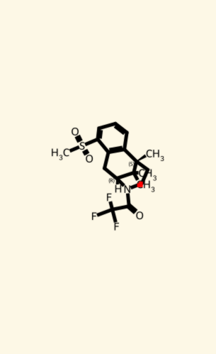 CC1(C)[C@H]2Cc3c(cccc3S(C)(=O)=O)[C@]1(C)CCN2C(=O)C(F)(F)F